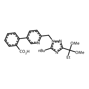 CCCCc1nc(C(CC)(OC)OC)nn1Cc1ccc(-c2ccccc2C(=O)O)cn1